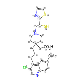 COc1ccc2ncc(Cl)c(CCCC3(CC(=O)O)CCN(CC(S)c4nccs4)CC3)c2c1